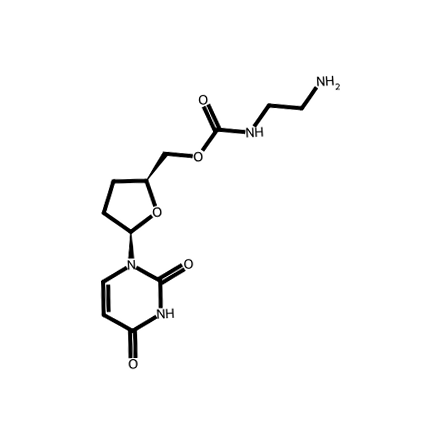 NCCNC(=O)OC[C@@H]1CC[C@H](n2ccc(=O)[nH]c2=O)O1